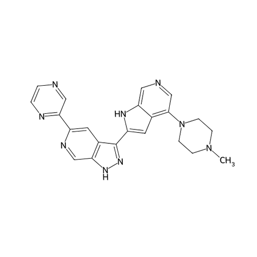 CN1CCN(c2cncc3[nH]c(-c4n[nH]c5cnc(-c6cnccn6)cc45)cc23)CC1